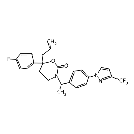 C=CCC1(c2ccc(F)cc2)CCN([C@@H](C)c2ccc(-n3ccc(C(F)(F)F)n3)cc2)C(=O)O1